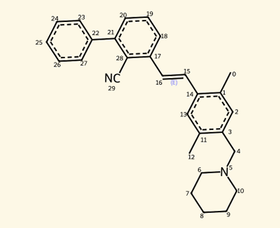 Cc1cc(CN2CCCCC2)c(C)cc1/C=C/c1cccc(-c2ccccc2)c1C#N